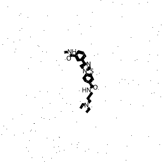 CCN(CC)CCCNC(=O)c1ccc2c(c1)sc1nc(-c3cccc(C(=O)NC)c3)cn12